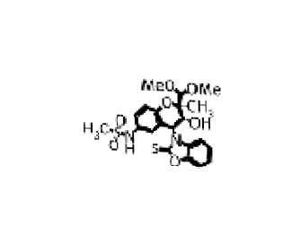 COC(OC)[C@]1(C)Oc2ccc(NS(C)(=O)=O)cc2[C@H](n2c(=S)oc3ccccc32)[C@H]1O